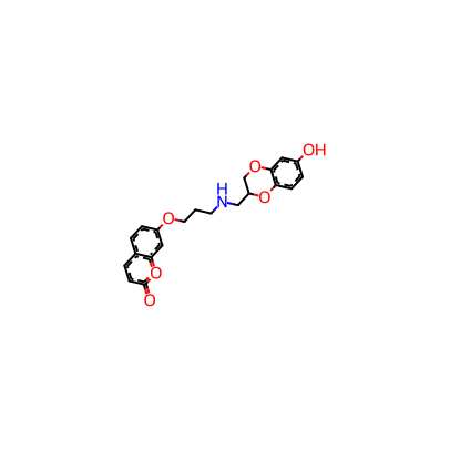 O=c1ccc2ccc(OCCCNCC3COc4cc(O)ccc4O3)cc2o1